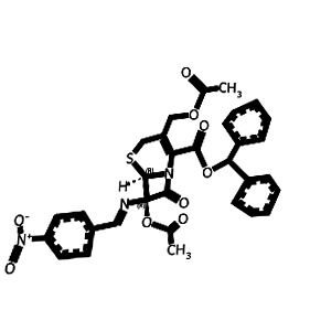 CC(=O)OCC1=C(C(=O)OC(c2ccccc2)c2ccccc2)N2C(=O)[C@@](N=Cc3ccc([N+](=O)[O-])cc3)(OC(C)=O)[C@H]2SC1